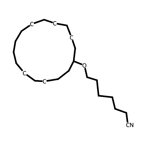 N#CCCCCCCOC1CCCCCCCCCCCCCCC1